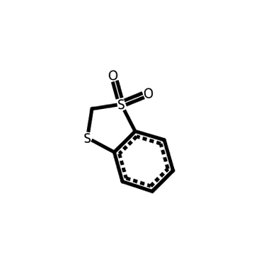 O=S1(=O)CSc2ccccc21